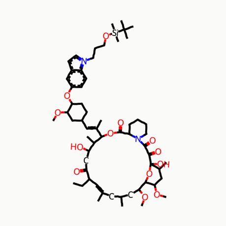 CCC1/C=C(\C)CC(C)CC(OC)C2OC(O)(C(=O)C(=O)N3CCCCC3C(=O)OC(C(C)=CC3CCC(Oc4ccc5c(ccn5CCCO[Si](C)(C)C(C)(C)C)c4)C(OC)C3)C(C)C(O)CC1=O)C(C)CC2OC